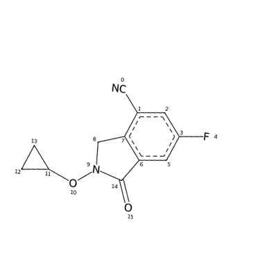 N#Cc1cc(F)cc2c1CN(OC1CC1)C2=O